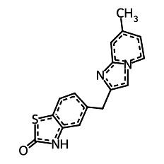 Cc1ccn2cc(Cc3ccc4sc(=O)[nH]c4c3)nc2c1